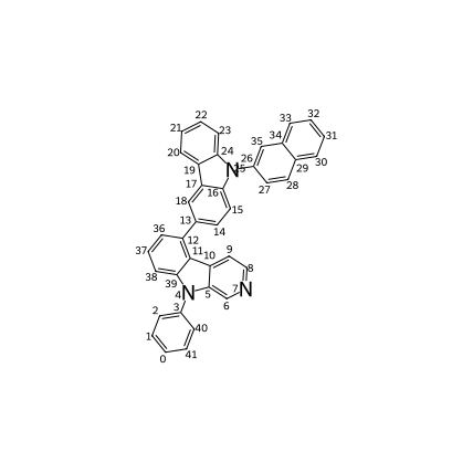 c1ccc(-n2c3cnccc3c3c(-c4ccc5c(c4)c4ccccc4n5-c4ccc5ccccc5c4)cccc32)cc1